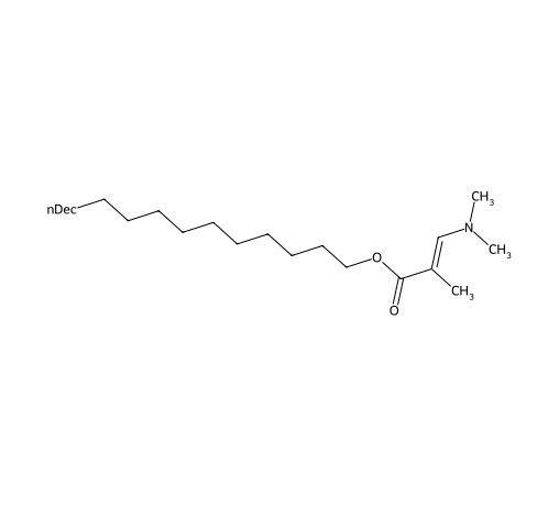 CCCCCCCCCCCCCCCCCCCCOC(=O)C(C)=CN(C)C